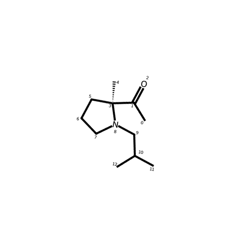 CC(=O)[C@]1(C)CCCN1CC(C)C